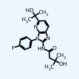 CC(C)(O)CC(=O)Nc1nc2ccc(C(C)(C)O)nc2n1-c1ccc(F)cc1